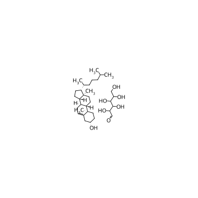 CC(C)CCCC(C)[C@H]1CC[C@H]2[C@@H]3CC=C4C[C@@H](O)CC[C@]4(C)[C@H]3CC[C@]12C.O=CC(O)C(O)C(O)C(O)CO